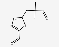 CC(C)(C=O)Cc1cnc(C=O)s1